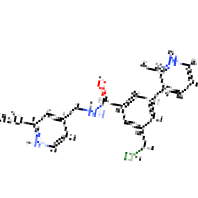 COc1cc(CNC(=O)c2cc(CCl)cc(-c3cccnc3C)c2)ccn1